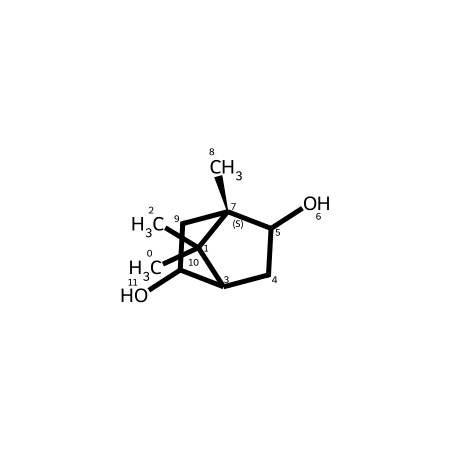 CC1(C)C2CC(O)[C@@]1(C)CC2O